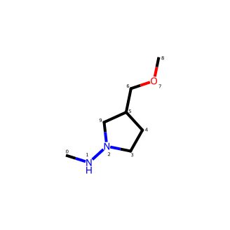 CNN1CCC(COC)C1